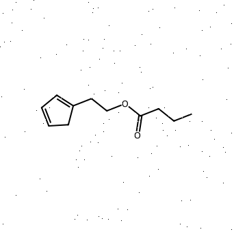 CCCC(=O)OCCC1=CC=CC1